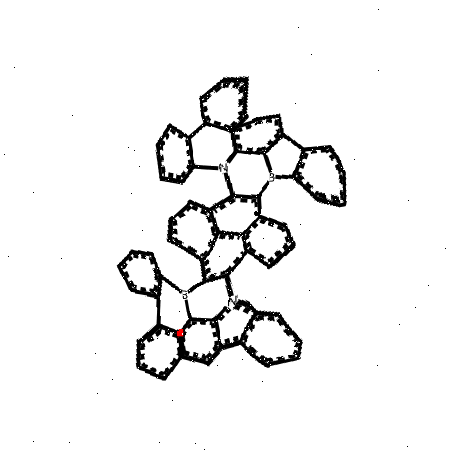 c1ccc(-c2ccccc2B2c3c(c4cccc5c6c(c7cccc3c7c54)N(c3ccccc3-c3ccccc3)c3cccc4c3B6c3ccccc3-4)-n3c4ccccc4c4cccc2c43)cc1